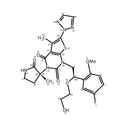 COc1ccc(F)cc1[C@H](Cn1c(=O)n([C@]2(C)CCNC2=O)c(=O)c2c(C)c(-n3nccn3)sc21)OCCO